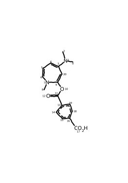 CN(C)C1=CC=CN(C)C(OC(=O)c2ccc(C(=O)O)cc2)=C1